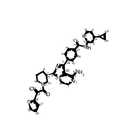 Nc1nccn2c([C@@H]3CCCN(C(=O)C(=O)c4ccco4)C3)nc(-c3ccc(C(=O)Nc4cc(C5CC5)ccn4)cc3)c12